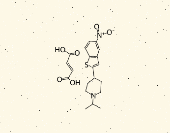 CC(C)N1CCC(c2cc3cc([N+](=O)[O-])ccc3s2)CC1.O=C(O)C=CC(=O)O